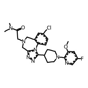 COc1cc(F)cnc1N1CCC(c2nnc3n2-c2ccc(Cl)cc2CN(CC(=O)N(C)C)C3)CC1